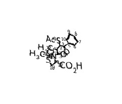 CC(=O)SC(C(=O)c1ccccc1)C(C)C(=O)N1[C@H](C(=O)O)CSC1(C)C